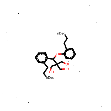 CCCCCCCCCCCCc1ccccc1OC(c1ccccc1CCCCCCCCCCCC)C(CO)(CO)CO